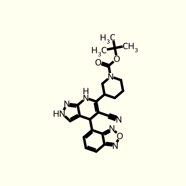 CC(C)(C)OC(=O)N1CCCC(C2=C(C#N)C(c3cccc4nonc34)c3c[nH]nc3N2)C1